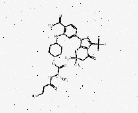 C[C@H](NC(=O)CCN)C(=O)O[C@H]1CC[C@H](Nc2cc(-n3nc(C(F)(F)F)c4c3CC(C)(C)CC4=O)ccc2C(N)=O)CC1